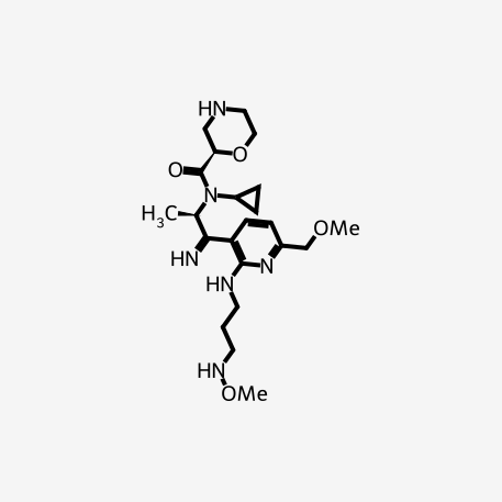 COCc1ccc(C(=N)[C@@H](C)N(C(=O)[C@H]2CNCCO2)C2CC2)c(NCCCNOC)n1